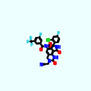 N#CCN1Cc2cc(NC(=O)c3cc(F)cc(C(F)(F)F)c3)c3c(c2NC1=O)C(=O)NC3(O)c1ccc(F)cc1Cl